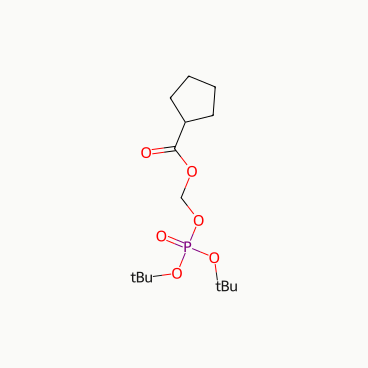 CC(C)(C)OP(=O)(OCOC(=O)C1CCCC1)OC(C)(C)C